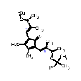 CB(OC(C)(C)C)/C(C)=C/C1=C(C)C(C)=C(/C=C(\C)B(C)OC(C)(C)C(C)C)C1=O